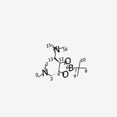 CN(C)C[C@H]1OB(C(C)(C)C)O[C@@H]1CN(C)C